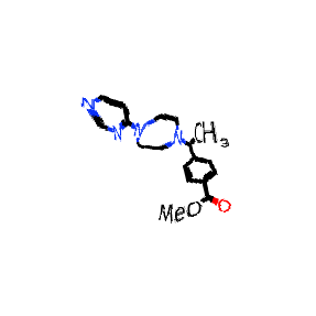 COC(=O)c1ccc(C(C)N2CCN(c3ccncn3)CC2)cc1